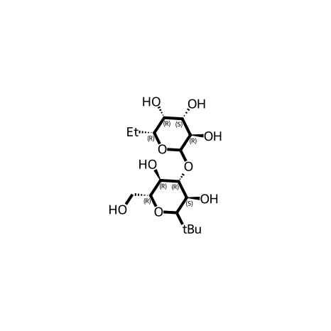 CC[C@H]1OC(O[C@H]2[C@H](O)[C@@H](CO)OC(C(C)(C)C)[C@@H]2O)[C@H](O)[C@@H](O)[C@H]1O